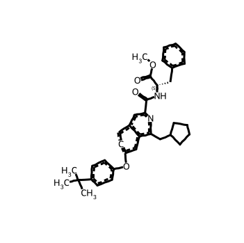 COC(=O)[C@H](Cc1ccccc1)NC(=O)c1cc2ccc(Oc3ccc(C(C)(C)C)cc3)cc2c(CC2CCCC2)n1